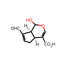 O=CC1=CC[C@@H]2C(C(=O)O)=COC(O)[C@H]12